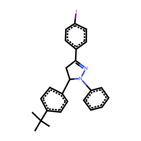 CC(C)(C)c1ccc(C2CC(c3ccc(I)cc3)=NN2c2ccccc2)cc1